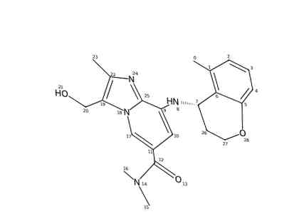 Cc1cccc2c1[C@@H](Nc1cc(C(=O)N(C)C)cn3c(CO)c(C)nc13)CCO2